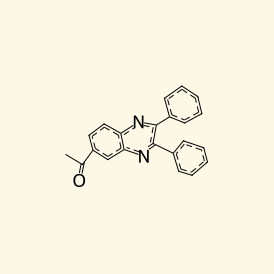 CC(=O)c1ccc2nc(-c3ccccc3)c(-c3ccccc3)nc2c1